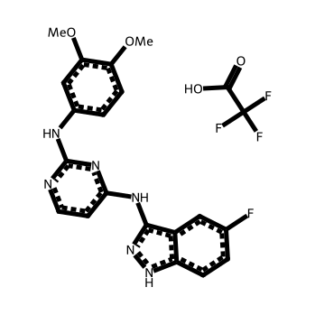 COc1ccc(Nc2nccc(Nc3n[nH]c4ccc(F)cc34)n2)cc1OC.O=C(O)C(F)(F)F